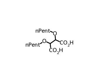 CCCCCOC(C(=O)O)C(OCCCCC)C(=O)O